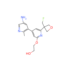 Cc1ncc(N)cc1-c1cc(OCCO)nc(C2(CF)COC2)c1